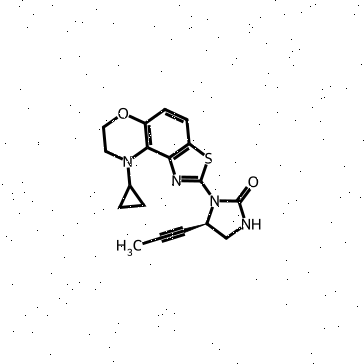 CC#C[C@@H]1CNC(=O)N1c1nc2c3c(ccc2s1)OCCN3C1CC1